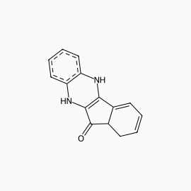 O=C1C2=C(Nc3ccccc3N2)C2=CC=CCC12